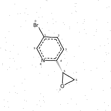 Brc1ccc([C@@H]2CO2)nc1